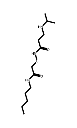 CCCCCNC(=O)CONC(=O)CCNC(C)C